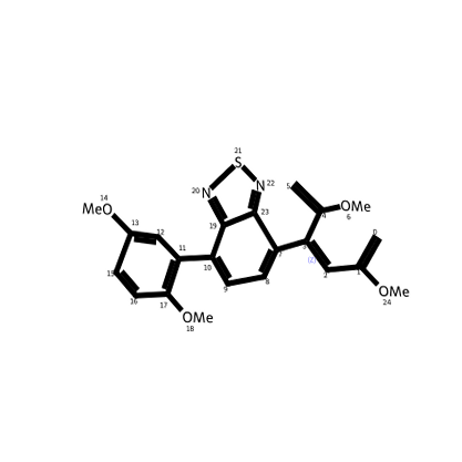 C=C(/C=C(\C(=C)OC)c1ccc(-c2cc(OC)ccc2OC)c2nsnc12)OC